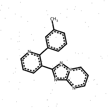 Cc1cccc(-c2ncccc2-c2nc3ncccn3n2)c1